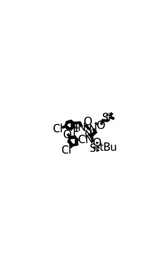 CC(C)(C)[Si](C)(C)OCc1cn(COCC[Si](C)(C)C)c(C(=O)NCc2ccc(Cl)c(Oc3cc(Cl)cc(C#N)c3)c2F)n1